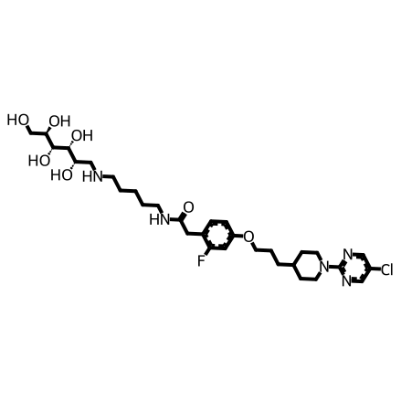 O=C(Cc1ccc(OCCCC2CCN(c3ncc(Cl)cn3)CC2)cc1F)NCCCCCNC[C@H](O)[C@@H](O)[C@H](O)[C@H](O)CO